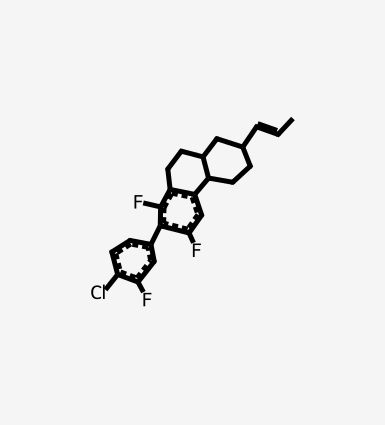 CC=CC1CCC2c3cc(F)c(-c4ccc(Cl)c(F)c4)c(F)c3CCC2C1